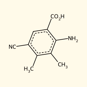 Cc1c(C#N)cc(C(=O)O)c(N)c1C